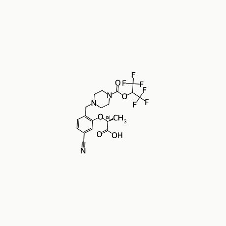 C[C@H](Oc1cc(C#N)ccc1CN1CCN(C(=O)OC(C(F)(F)F)C(F)(F)F)CC1)C(=O)O